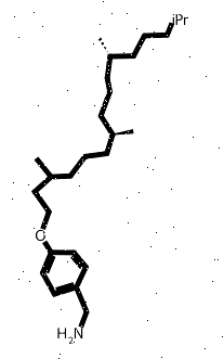 CC(C)CCC[C@@H](C)CCC[C@@H](C)CCCC(C)CCOc1ccc(CN)cc1